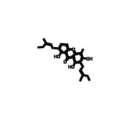 CCC(C)=CCc1ccc2oc3c(C)c(O)c(CC=C(C)CC)c(O)c3c(=O)c2c1O